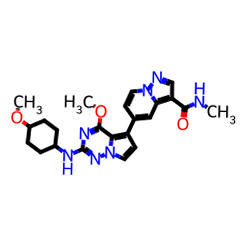 CNC(=O)c1cnn2ccc(-c3ccn4nc(NC5CCC(OC)CC5)nc(OC)c34)cc12